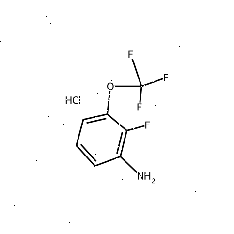 Cl.Nc1cccc(OC(F)(F)F)c1F